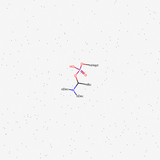 CCCCCCCCCCN(CCCCCCCCCC)C(CCCC)OP(=O)(O)OCCCCCCC